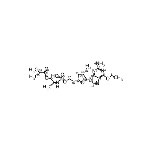 CCOc1nc(N)nc2c1ncn2[C@@H]1O[C@H](CCOP(=O)(O)NC(C)COC(=O)C(C)C)C[C@@H]1C